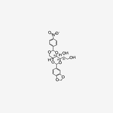 O=[N+]([O-])c1ccc(C2OC[C@@H]3OC(c4ccc5c(c4)OCO5)O[C@H]([C@H](O)CO)[C@@H]3O2)cc1